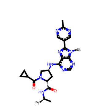 CCn1c(-c2cnc(C)nc2)nc2c(N[C@H]3C[C@H](C(=O)N[C@@H](C)C(C)C)N(C(=O)C4CC4)C3)ncnc21